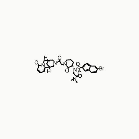 CN(C)C(=O)CN([C@H]1CCCN(CC(=O)N2C[C@@H]3C[C@H](C2)c2cccc(=O)n2C3)C1=O)S(=O)(=O)c1ccc2cc(Br)ccc2c1